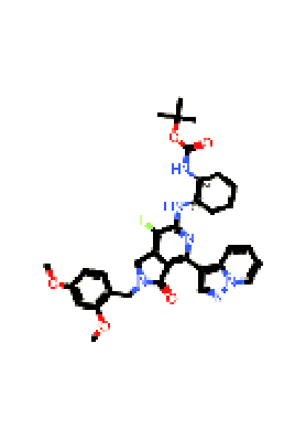 COc1ccc(CN2Cc3c(F)c(N[C@@H]4CCCC[C@@H]4NC(=O)OC(C)(C)C)nc(-c4cnn5ccccc45)c3C2=O)c(OC)c1